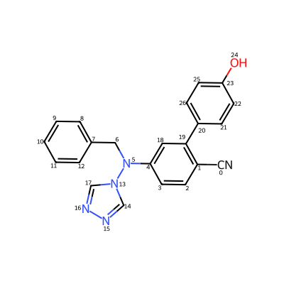 N#Cc1ccc(N(Cc2ccccc2)n2cnnc2)cc1-c1ccc(O)cc1